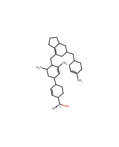 CC[C@H](O)C1C=CC(C2C=C(C)C(CC3=C4CCCC4CC(CC4CC=C(C)CC4)C3)C(C)C2)CC1